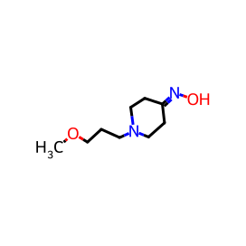 COCCCN1CCC(=NO)CC1